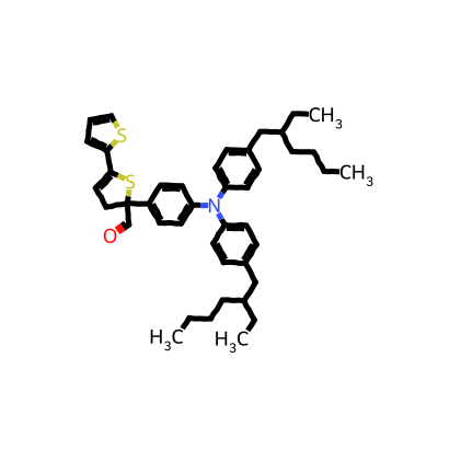 CCCCC(CC)Cc1ccc(N(c2ccc(CC(CC)CCCC)cc2)c2ccc(C3(C=O)CC=C(c4cccs4)S3)cc2)cc1